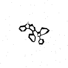 c1ccc(-c2sc(-c3ccc4oc5ccccc5c4c3-c3ccccc3)c3ccccc23)cc1